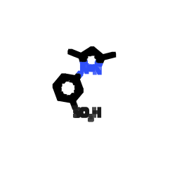 Cc1cc(C)n(-c2cccc(S(=O)(=O)O)c2)n1